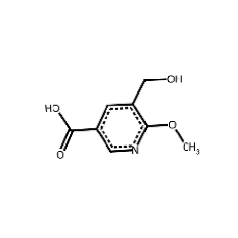 COc1ncc(C(=O)O)cc1CO